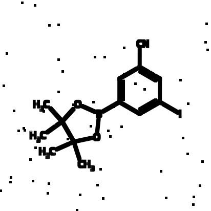 CC1(C)OB(c2cc(I)cc(C#N)c2)OC1(C)C